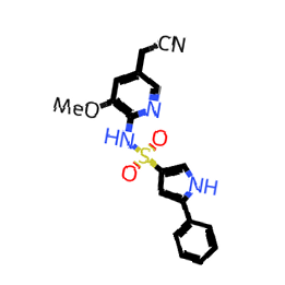 COc1cc(CC#N)cnc1NS(=O)(=O)c1c[nH]c(-c2ccccc2)c1